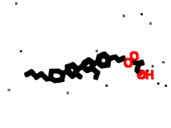 C=C(CO)C(=O)OCCCc1ccc(-c2ccc(-c3ccc(C4CCC(CCCCC)CC4)cc3C)cc2CC)cc1